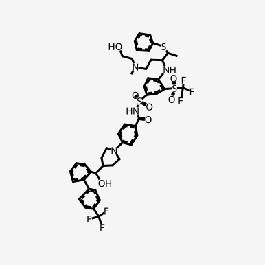 CC(Sc1ccccc1)C(CCN(C)CCO)Nc1ccc(S(=O)(=O)NC(=O)c2ccc(N3CCC(C(O)c4ccccc4-c4ccc(C(F)(F)F)cc4)CC3)cc2)cc1S(=O)(=O)C(F)(F)F